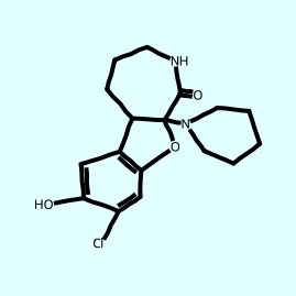 O=C1NCCCC2c3cc(O)c(Cl)cc3OC12N1CCCCC1